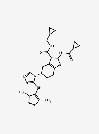 Cc1noc(C)c1Nc1nncn1[C@H]1CCc2sc(NC(=O)C3CC3)c(C(=O)NCC3CC3)c2C1